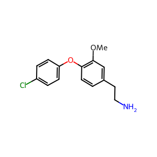 COc1cc(CCN)ccc1Oc1ccc(Cl)cc1